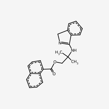 CC(C)(COC(=O)c1cccc2ccccc12)NC1=NCc2ccccc21